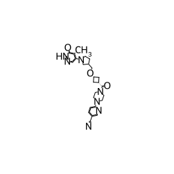 Cc1c(N2CCC(CO[C@H]3C[C@@H](C(=O)N4CCN(c5ccc(C#N)cn5)CC4)C3)C2)cn[nH]c1=O